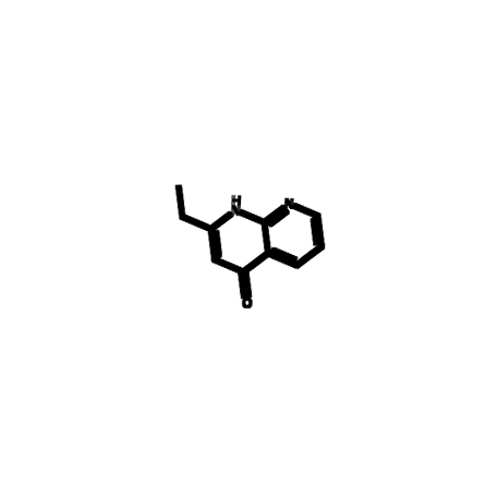 CCc1cc(=O)c2cccnc2[nH]1